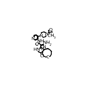 CC1(N2CCN(c3ccncc3NC(=O)c3c(N)nn4c3NCC(Cl)C43CCCCCCCCCC3)CC2)COC1